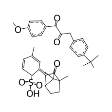 CC1=CC(=C2C(=O)C3(C)CCC2C3(C)C)C(S(=O)(=O)O)C=C1.COc1ccc(C(=O)C(=O)Cc2ccc(C(C)(C)C)cc2)cc1